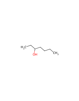 [CH2]CC(O)CCCC